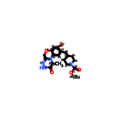 C[C@@H]1C(=O)NN=C2COc3cc(Br)c(CC4CCN(C(=O)OC(C)(C)C)CC4)cc3N21